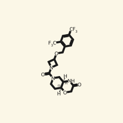 O=C1CO[C@H]2CCN(C(=O)N3CC(OCc4ccc(C(F)(F)F)cc4C(F)(F)F)C3)C[C@H]2N1